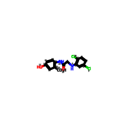 O=C(CNc1cc(Cl)ccc1Cl)Nc1ccc(O)cc1C(=O)O